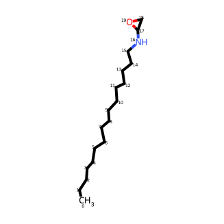 CCCCCCCCCCCCCCCCNC1CO1